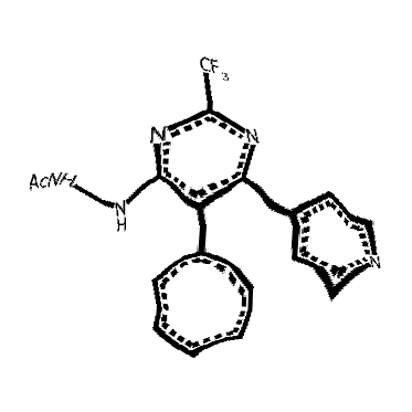 CC(=O)NNc1nc(C(F)(F)F)nc(-c2ccncc2)c1-c1ccccc1